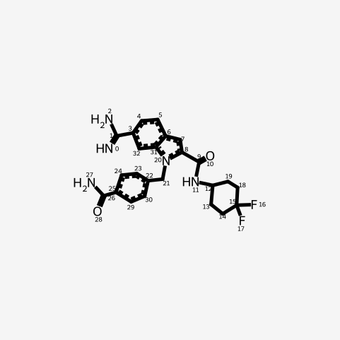 N=C(N)c1ccc2cc(C(=O)NC3CCC(F)(F)CC3)n(Cc3ccc(C(N)=O)cc3)c2c1